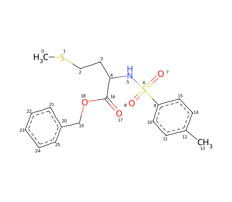 CSCCC(NS(=O)(=O)c1ccc(C)cc1)C(=O)OCc1ccccc1